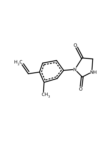 C=Cc1ccc(N2C(=O)CNC2=O)cc1C